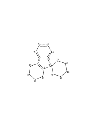 C1=C(C2(c3ccccc3)CCCCC2)CCCC1